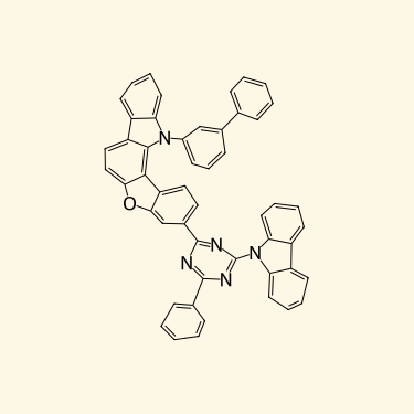 c1ccc(-c2cccc(-n3c4ccccc4c4ccc5oc6cc(-c7nc(-c8ccccc8)nc(-n8c9ccccc9c9ccccc98)n7)ccc6c5c43)c2)cc1